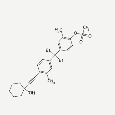 CCC(CC)(c1ccc(C#CC2(O)CCCCC2)c(C)c1)c1ccc(OS(=O)(=O)C(F)(F)F)c(C)c1